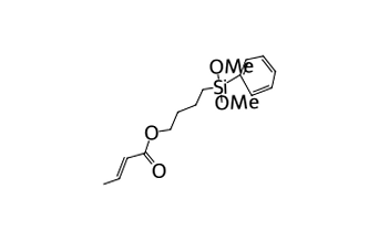 CC=CC(=O)OCCCC[Si](OC)(OC)c1ccccc1